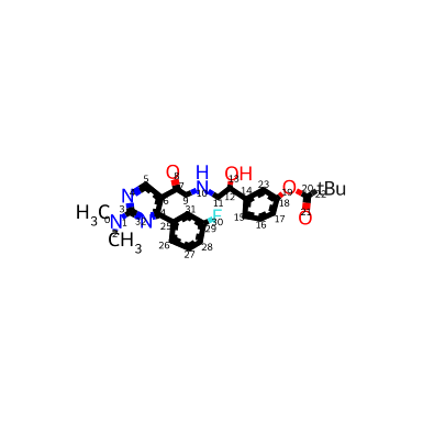 CN(C)c1ncc(C(=O)CNCC(O)c2cccc(OC(=O)C(C)(C)C)c2)c(-c2cccc(F)c2)n1